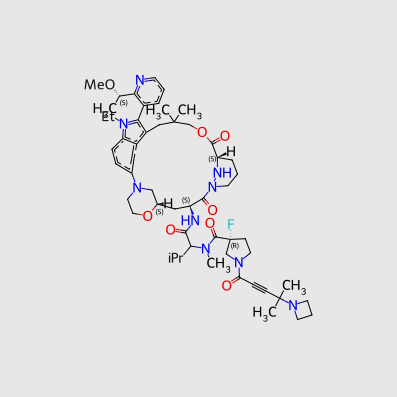 CCn1c(-c2cccnc2[C@H](C)OC)c2c3cc(ccc31)N1CCO[C@@H](C[C@H](NC(=O)C(C(C)C)N(C)C(=O)[C@@]3(F)CCN(C(=O)C#CC(C)(C)N4CCC4)C3)C(=O)N3CCC[C@H](N3)C(=O)OCC(C)(C)C2)C1